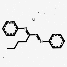 CCCCC(/C=N/c1ccccc1)=N\c1ccccc1.[Ni]